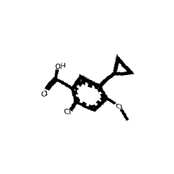 COc1cc(Cl)c(C(=O)O)cc1C1CC1